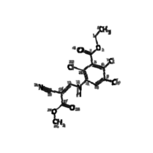 CCOC(=O)c1c(Cl)c(Cl)cc(NC=C(C#N)C(=O)OC)c1Cl